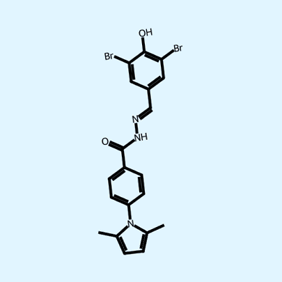 Cc1ccc(C)n1-c1ccc(C(=O)NN=Cc2cc(Br)c(O)c(Br)c2)cc1